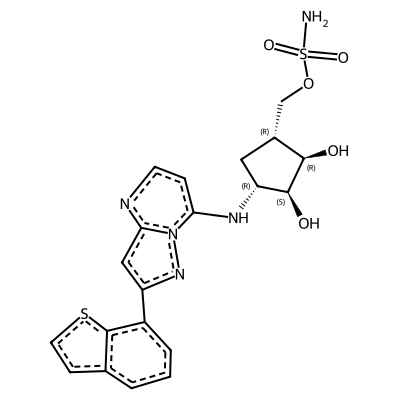 NS(=O)(=O)OC[C@H]1C[C@@H](Nc2ccnc3cc(-c4cccc5ccsc45)nn23)[C@H](O)[C@@H]1O